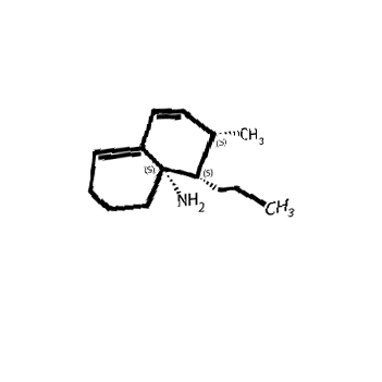 CCC[C@H]1[C@@H](C)C=CC2=CCCC[C@@]21N